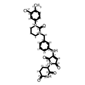 Cc1ccc(N2CCCN(Cc3cccc(NC4=CC(=O)N(C5CCC(=O)NC5=O)C4=O)c3)C2=O)cc1Cl